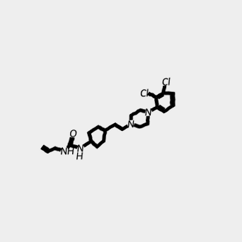 C=CCNC(=O)NC1CCC(CCN2CCN(c3cccc(Cl)c3Cl)CC2)CC1